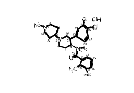 CC(=O)N1CCC(N2CC[C@H](N(C)C(=O)c3cccc(Br)c3C(F)(F)F)C(c3ccc(Cl)c(Cl)c3)C2)CC1.Cl